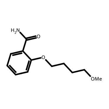 COCCCCOc1ccccc1C(N)=O